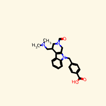 CN(C)CC1CN(C=O)Cc2c1c1ccccc1n2Cc1ccc(C(=O)O)cc1